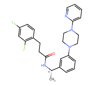 C[C@H](NC(=O)CCc1ccc(F)cc1F)c1cccc(N2CCN(c3ccccn3)CC2)c1